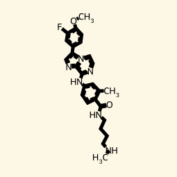 CNCCCCNC(=O)c1ccc(Nc2nccn3c(-c4ccc(OC)c(F)c4)cnc23)cc1C